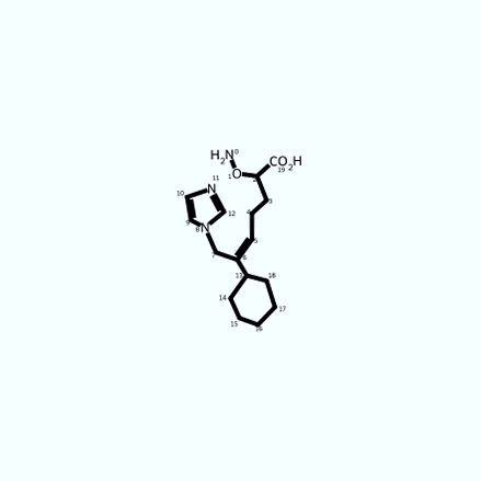 NOC(CCC=C(Cn1ccnc1)C1CCCCC1)C(=O)O